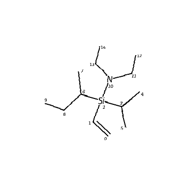 C=C[Si](C(C)C)(C(C)CC)N(CC)CC